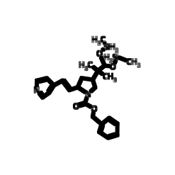 C[SiH2]OC(O[SiH2]C)C(C)(C)C1CC(C=Cc2ccncc2)N(C(=O)OCc2ccccc2)C1